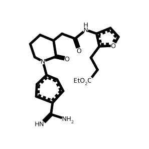 CCOC(=O)CCc1occc1NC(=O)CC1CCCN(c2ccc(C(=N)N)cc2)C1=O